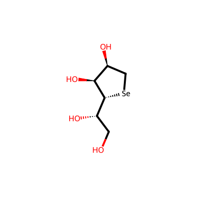 OC[C@H](O)[C@H]1[Se]C[C@H](O)[C@@H]1O